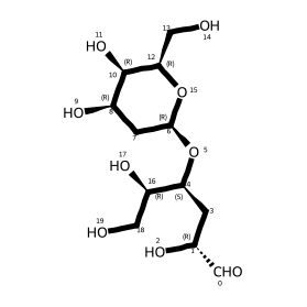 O=C[C@H](O)C[C@H](O[C@H]1C[C@@H](O)[C@@H](O)[C@@H](CO)O1)[C@H](O)CO